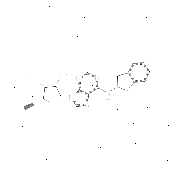 C#C[C@H]1O[C@@H](n2cnc3c(NC4Cc5ccccc5C4)ncnc32)[C@H](OC(C)=O)[C@@H]1OC(C)=O